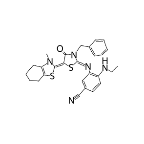 CCNc1ccc(C#N)cc1/N=C1\S/C(=C2\SC3=C(CCCC3)N2C)C(=O)N1Cc1ccccc1